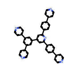 c1cc(-c2ccc(-c3cc(-c4cc(-c5ccncc5)cc(-c5ccncc5)c4)cc(-c4ccc(-c5ccncc5)cc4)n3)cc2)ccn1